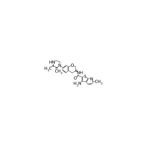 Cc1ccc2c(N)c(C(=O)N[C@@H]3COc4cc(N5CCN[C@@H](C)[C@H]5C)ccc4C3)sc2n1